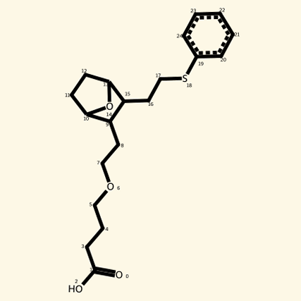 O=C(O)CCCOCCC1C2CCC(O2)C1CCSc1ccccc1